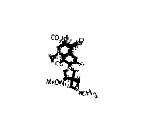 CO/N=C1\CN(c2c(F)cc3c(=O)c(C(=O)O)cn(C4CC4)c3c2Cl)CC12CN(C)C2